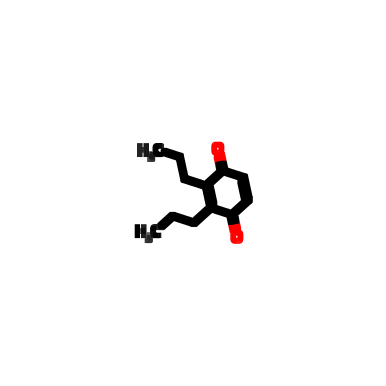 CCCC1=C(CCC)C(=O)C=CC1=O